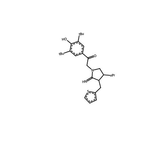 CCCC1CN(CC(=O)c2cc(C(C)(C)C)c(O)c(C(C)(C)C)c2)C(=N)C1Cc1cccs1